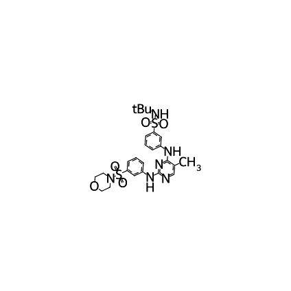 Cc1cnc(Nc2cccc(S(=O)(=O)N3CCOCC3)c2)nc1Nc1cccc(S(=O)(=O)NC(C)(C)C)c1